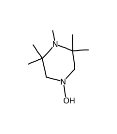 CN1C(C)(C)CN(O)CC1(C)C